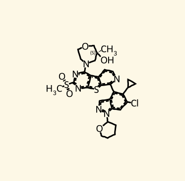 C[C@@]1(O)COCCN(c2nc(S(C)(=O)=O)nc3sc4c(-c5c(C6CC6)c(Cl)cc6c5cnn6C5CCCCO5)nccc4c23)C1